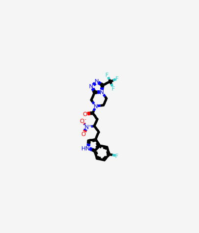 O=C(CC(Cc1c[nH]c2ccc(F)cc12)[N+](=O)[O-])N1CCn2c(nnc2C(F)(F)F)C1